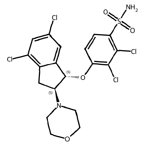 NS(=O)(=O)c1ccc(O[C@H]2c3cc(Cl)cc(Cl)c3C[C@@H]2N2CCOCC2)c(Cl)c1Cl